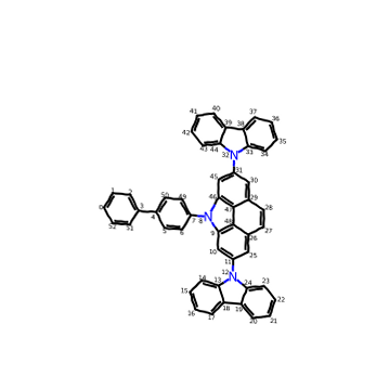 c1ccc(-c2ccc(-n3c4cc(-n5c6ccccc6c6ccccc65)cc5ccc6cc(-n7c8ccccc8c8ccccc87)cc3c6c54)cc2)cc1